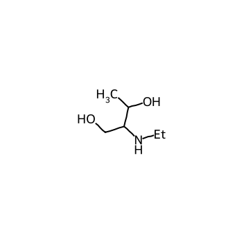 CCNC(CO)C(C)O